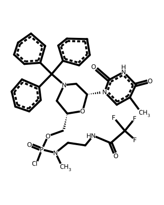 Cc1cn([C@H]2CN(C(c3ccccc3)(c3ccccc3)c3ccccc3)C[C@@H](COP(=O)(Cl)N(C)CCNC(=O)C(F)(F)F)O2)c(=O)[nH]c1=O